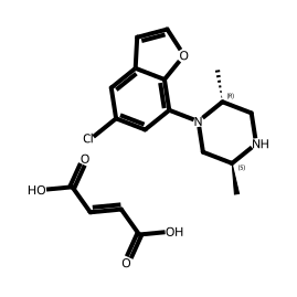 C[C@@H]1CN[C@@H](C)CN1c1cc(Cl)cc2ccoc12.O=C(O)C=CC(=O)O